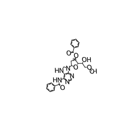 O=C(Nc1ncnc2c1NCN2C1C[C@@H](OC(=O)c2ccccc2)C(C(O)COOI)O1)c1ccccc1